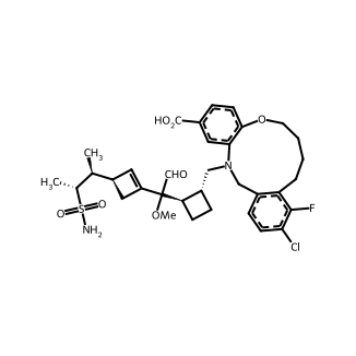 COC(C=O)(C1=C[C@H]([C@H](C)[C@@H](C)S(N)(=O)=O)C1)[C@@H]1CC[C@H]1CN1Cc2ccc(Cl)c(F)c2CCCCOc2ccc(C(=O)O)cc21